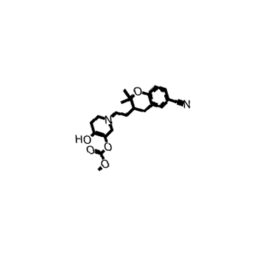 COC(=O)OC1=C(O)CCN(CCC2Cc3cc(C#N)ccc3OC2(C)C)C1